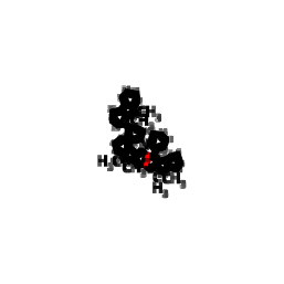 CC1(C)c2ccccc2-c2c(-c3ccccc3N(c3ccc(-c4cccc5c4C(C)(C)c4ccccc4-5)cc3)c3cccc4c3-c3ccccc3C4(C)C)cccc21